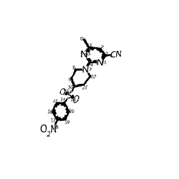 Cc1cc(C#N)nc(N2CCC(S(=O)(=O)c3ccc([N+](=O)[O-])cc3)CC2)n1